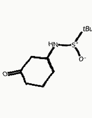 CC(C)(C)[S+]([O-])NC1CCCC(=O)C1